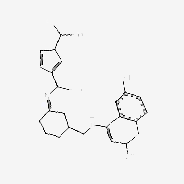 CCCC(CC)C1C=CC(C(O)/N=C2/CCCC(CNC3=CC(C(F)(F)F)Cc4ccc(O)cc43)C2)=C1